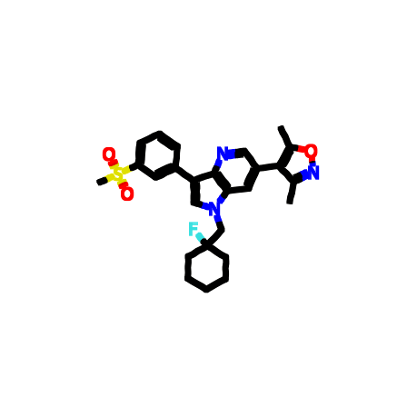 Cc1noc(C)c1-c1cnc2c(-c3cccc(S(C)(=O)=O)c3)cn(CC3(F)CCCCC3)c2c1